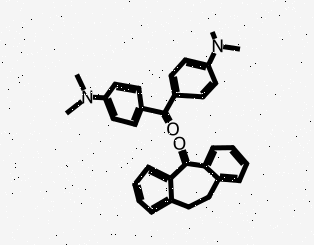 CN(C)c1ccc(C(=O)c2ccc(N(C)C)cc2)cc1.O=C1c2ccccc2CCc2ccccc21